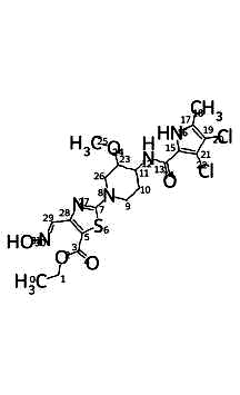 CCOC(=O)c1sc(N2CCC(NC(=O)c3[nH]c(C)c(Cl)c3Cl)C(OC)C2)nc1/C=N/O